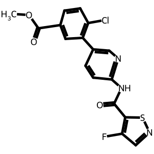 COC(=O)c1ccc(Cl)c(-c2ccc(NC(=O)c3sncc3F)nc2)c1